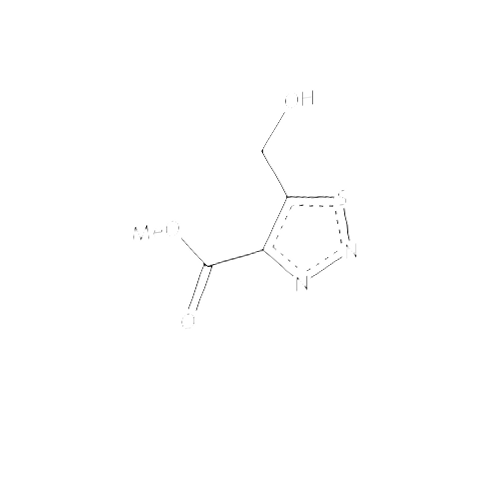 COC(=O)c1nnsc1CO